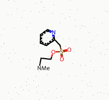 CNCCOS(=O)(=O)Cc1ccccn1